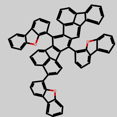 c1ccc2c(c1)oc1c(-c3ccc4c5c(-c6cccc7c6oc6ccccc67)c6cc7c8ccccc8c8cccc(c6c(-c6cccc9c6oc6ccccc69)c5c5cccc3c45)c87)cccc12